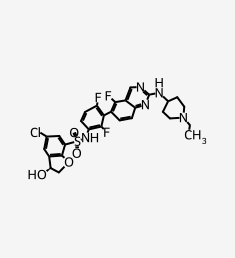 CCN1CCC(Nc2ncc3c(F)c(-c4c(F)ccc(NS(=O)(=O)c5cc(Cl)cc6c5OC[C@H]6O)c4F)ccc3n2)CC1